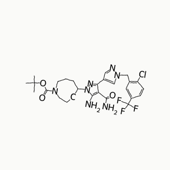 CC(C)(C)OC(=O)N1CCCC(n2nc(-c3cnn(Cc4cc(C(F)(F)F)ccc4Cl)c3)c(C(N)=O)c2N)CCC1